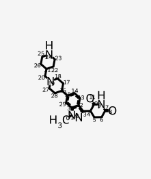 Cn1nc(C2CCC(=O)NC2=O)c2ccc(C3CCN(CC4CCNCC4)CC3)cc21